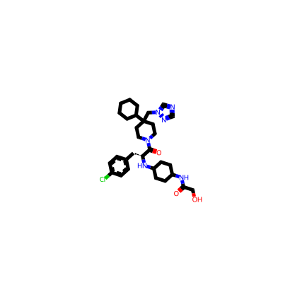 O=C(CO)NC1CCC(N[C@H](Cc2ccc(Cl)cc2)C(=O)N2CCC(Cn3cncn3)(C3CCCCC3)CC2)CC1